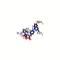 CCc1cc2cc(OC)ccc2c(Nc2ccc(C[C@H](Nc3c(N4C(C)CCC4C)c(=O)c3=O)C(=O)O)cc2)n1